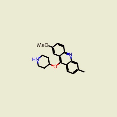 COc1ccc2nc3cc(C)ccc3c(OC3CCNCC3)c2c1